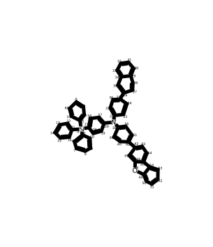 c1ccc([Si](c2ccccc2)(c2ccccc2)c2ccc(N(c3ccc(-c4ccc5ccccc5c4)cc3)c3ccc(-c4ccc5c(c4)oc4ccccc45)cc3)cc2)cc1